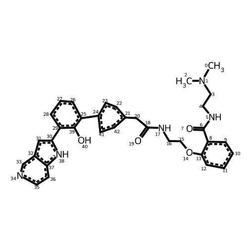 CN(C)CCNC(=O)c1ccccc1OCCNC(=O)Cc1ccc(-c2cccc(-c3cc4cnccc4[nH]3)c2O)cc1